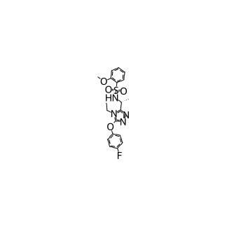 CCn1c(Oc2ccc(F)cc2)nnc1[C@@H](C)NS(=O)(=O)c1ccccc1OC